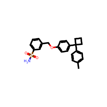 Cc1ccc(C2(c3ccc(OCc4cccc(S(N)(=O)=O)c4)cc3)CCC2)cc1